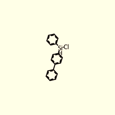 Cl[Si@H](c1ccccc1)c1ccc(-c2ccccc2)cc1